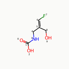 O=C(O)NC/C(=C/F)CO